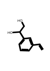 C=Cc1cccc(C(O)CO)c1